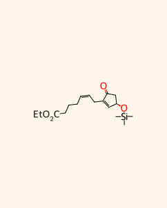 CCOC(=O)CCC/C=C\CC1=C[C@H](O[Si](C)(C)C)CC1=O